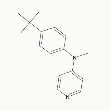 CN(c1ccncc1)c1ccc(C(C)(C)C)cc1